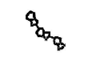 c1ccn2cc(-c3ccn4nc(-c5ccn6ncnc6c5)cc4c3)nc2c1